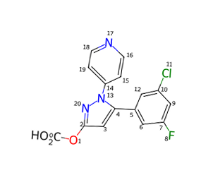 O=C(O)Oc1cc(-c2cc(F)cc(Cl)c2)n(-c2ccncc2)n1